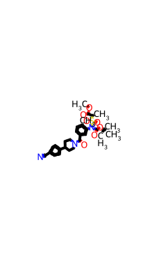 COC(=O)C(C)S(=O)(=O)N(C(=O)OC(C)(C)C)c1cc(C(=O)N2CCC(c3ccc(C#N)cc3)CC2)ccc1C